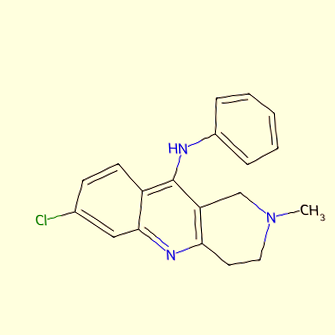 CN1CCc2nc3cc(Cl)ccc3c(Nc3ccccc3)c2C1